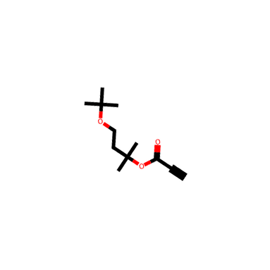 C#CC(=O)OC(C)(C)CCOC(C)(C)C